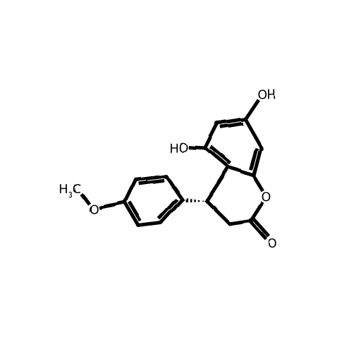 COc1ccc([C@H]2CC(=O)Oc3cc(O)cc(O)c32)cc1